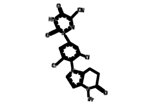 CC(C)N1C(=O)CCc2c1ccn2-c1c(Cl)cc(-n2nc(C#N)c(=O)[nH]c2=O)cc1Cl